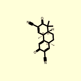 CC1(C)C(=O)C(C#N)=C[C@]2(C)C3=CC(=O)C(C#N)=C[C@]3(C)CC[C@@H]12